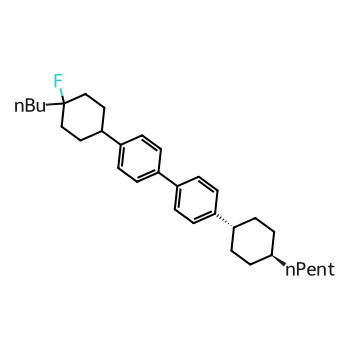 CCCCC[C@H]1CC[C@H](c2ccc(-c3ccc(C4CCC(F)(CCCC)CC4)cc3)cc2)CC1